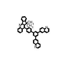 CC1(C)c2ccccc2-c2nc3ccccc3c(-c3ccc(-c4cc(-c5ccc6ncccc6c5)cc(-c5ccc6ncccc6c5)c4)cc3)c21